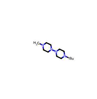 CN1CCN(N2CCN(C(C)(C)C)CC2)CC1